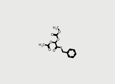 COC(=O)OC(OC(C)=O)C(=O)SCc1ccccc1